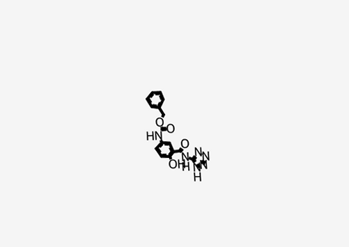 O=C(Nc1ccc(O)c(C(=O)Nc2nnn[nH]2)c1)OCc1ccccc1